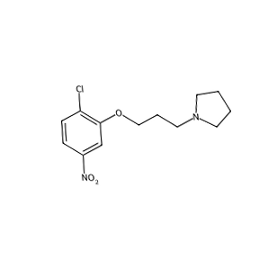 O=[N+]([O-])c1ccc(Cl)c(OCCCN2CCCC2)c1